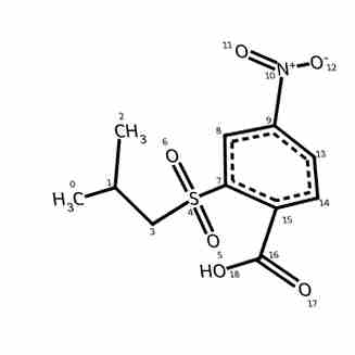 CC(C)CS(=O)(=O)c1cc([N+](=O)[O-])ccc1C(=O)O